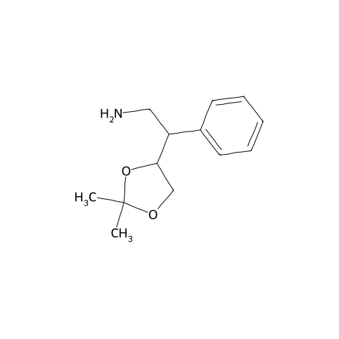 CC1(C)OCC(C(CN)c2ccccc2)O1